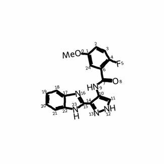 COc1ccc(F)c(C(=O)Nc2c[nH]nc2-c2nc3ccccc3[nH]2)c1